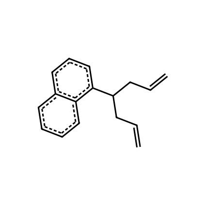 C=CCC(CC=C)c1cccc2ccccc12